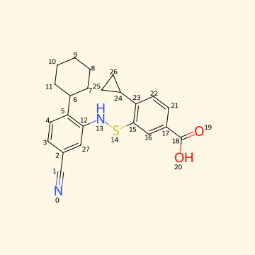 N#Cc1ccc(C2CCCCC2)c(NSc2cc(C(=O)O)ccc2C2CC2)c1